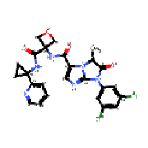 C[C@H]1C(=O)N(c2cc(Cl)cc(Cl)c2)c2ncc(C(=O)NC3(C(=O)NC4(c5ccccn5)CC4)COC3)n21